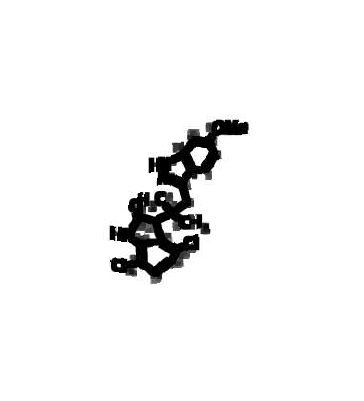 COc1ccc2c(CC(C)(C)C3C(=O)Nc4c(Cl)ccc(Cl)c43)n[nH]c2c1